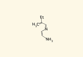 C=C(/C=N\C=C/N)CC